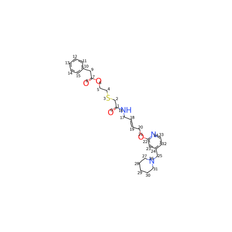 O=C(CSCCOC(=O)Cc1ccccc1)NCC=CCOc1cc(CN2CCCCC2)ccn1